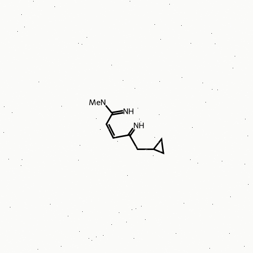 CNC(=N)/C=C\C(=N)CC1CC1